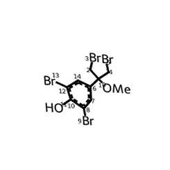 COC(CBr)(CBr)c1cc(Br)c(O)c(Br)c1